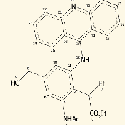 CCOC(=O)C(CC)c1c(NC(C)=O)cc(CO)cc1Nc1c2ccccc2nc2ccccc12